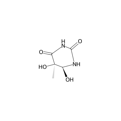 C[C@]1(O)C(=O)NC(=O)N[C@H]1O